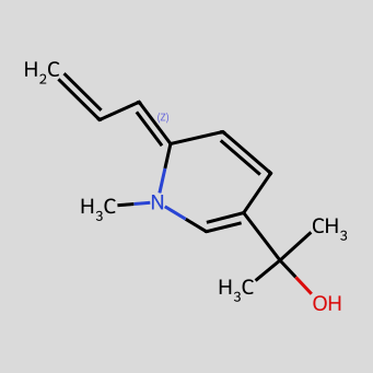 C=C/C=C1/C=CC(C(C)(C)O)=CN1C